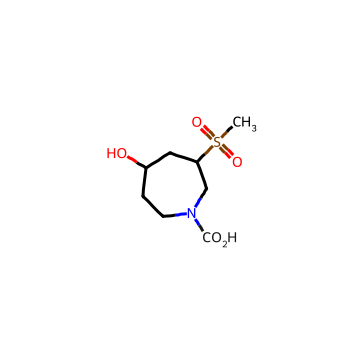 CS(=O)(=O)C1CC(O)CCN(C(=O)O)C1